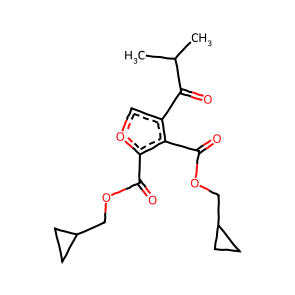 CC(C)C(=O)c1coc(C(=O)OCC2CC2)c1C(=O)OCC1CC1